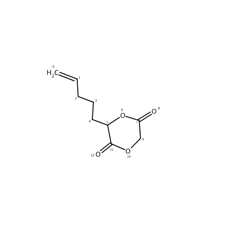 C=CCCCC1OC(=O)COC1=O